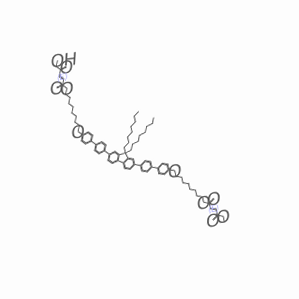 CCCCCCCCC1(CCCCCCCC)c2cc(-c3ccc(-c4ccc(OCCCCCCCCOC(=O)/C=C/C(=O)CO)cc4)cc3)ccc2-c2ccc(-c3ccc(-c4ccc(OCCCCCCCCOC(=O)/C=C/C(=O)OC)cc4)cc3)cc21